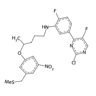 CSCc1cc(OC(C)CCCNc2cc(-c3nc(Cl)ncc3F)ccc2F)cc([N+](=O)[O-])c1